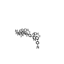 COc1c(-c2ccc(N3CC(C)N(C(=O)C(C)(C)O)C(C)C3)cc2)cnc2c(-c3ccc(C#N)cc3)cccc12